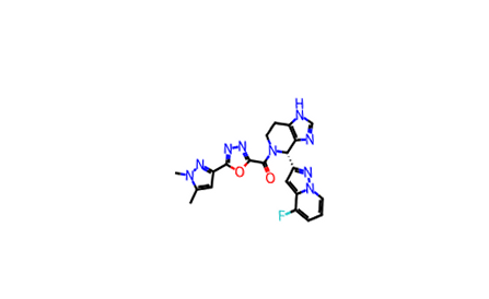 Cc1cc(-c2nnc(C(=O)N3CCc4[nH]cnc4[C@@H]3c3cc4c(F)cccn4n3)o2)nn1C